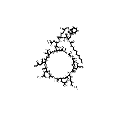 CCCCCCCCCC(=O)NC(Cc1c[nH]c2ccccc12)C(=O)NC(CCC(=O)O)C(=O)NC(CC(N)=O)C(=O)NC1C(=O)N(C)CC(=O)NC(C)C(=O)NC(CC(=O)O)C(=O)NC(CCCCN)C(=O)NC(CC(=O)O)C(=O)NCC(=O)NC(CC(N)=O)C(=O)NC(C(C)CC(=O)O)C(=O)NC(C(C)C)C(=O)OC1C